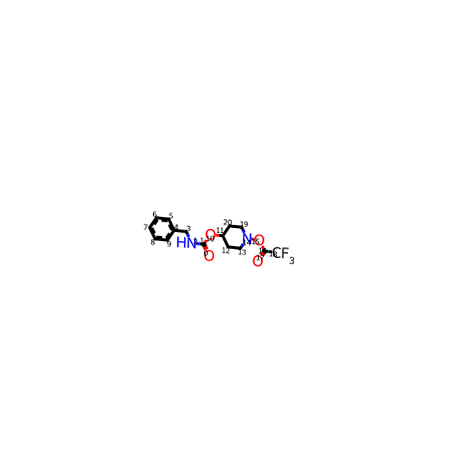 O=C(NCc1ccccc1)OC1CCN(OC(=O)C(F)(F)F)CC1